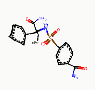 CC(C)(C)C(NS(=O)(=O)c1ccc(C(N)=O)cc1)(C(N)=O)c1ccccc1